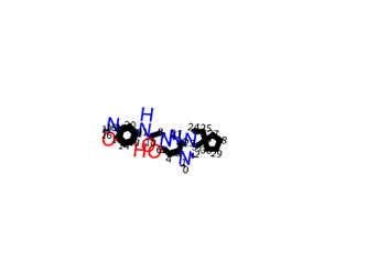 CN(C)C1=CC(O)N(CC(=O)Nc2ccc3ocnc3c2)N=C1N1CCC2(CCCC2)C1